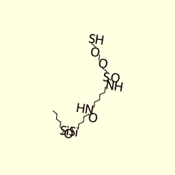 CCCCC[Si](C)(C)O[Si](C)(C)CCCCC(=O)NCCCCCCNC(=O)SCCOCCOCCS